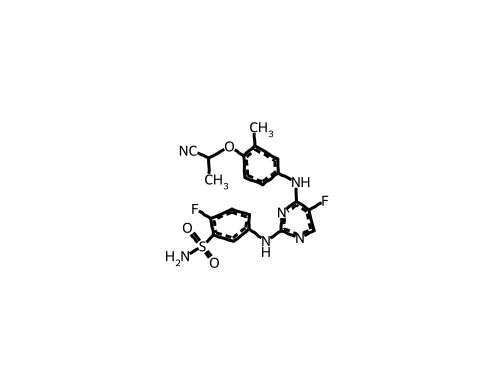 Cc1cc(Nc2nc(Nc3ccc(F)c(S(N)(=O)=O)c3)ncc2F)ccc1OC(C)C#N